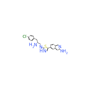 Nc1cc2cc(-c3cnc(NC[C@H](N)Cc4ccc(Cl)cc4)s3)ccc2cn1